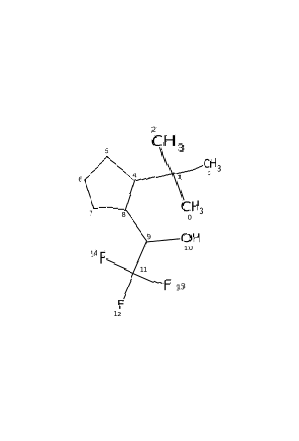 CC(C)(C)C1CCCC1C(O)C(F)(F)F